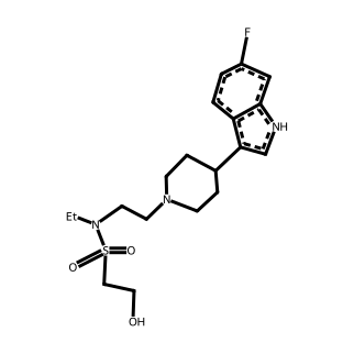 CCN(CCN1CCC(c2c[nH]c3cc(F)ccc23)CC1)S(=O)(=O)CCO